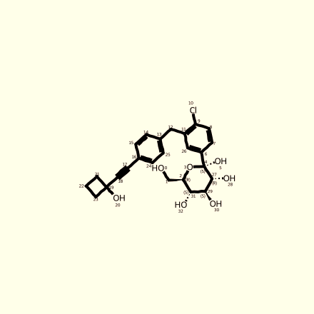 OC[C@H]1O[C@@](O)(c2ccc(Cl)c(Cc3ccc(C#CC4(O)CCC4)cc3)c2)[C@H](O)[C@@H](O)[C@@H]1O